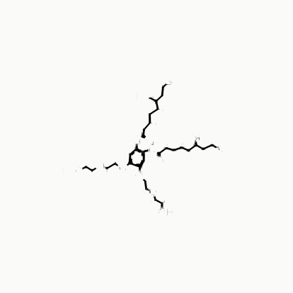 CCCOCCOc1cc(OC(=O)CCCCC(S)CCS)c(OC(=O)CCCCC(S)CCS)cc1OCCOCCO